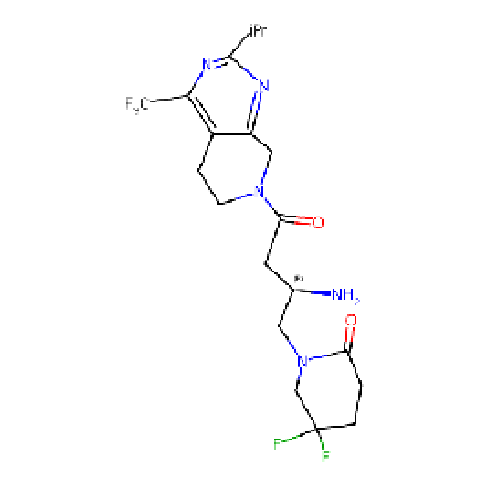 CC(C)c1nc2c(c(C(F)(F)F)n1)CCN(C(=O)C[C@@H](N)CN1CC(F)(F)CCC1=O)C2